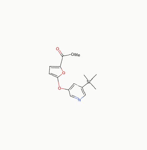 COC(=O)c1ccc(Oc2cncc([Si](C)(C)C)c2)o1